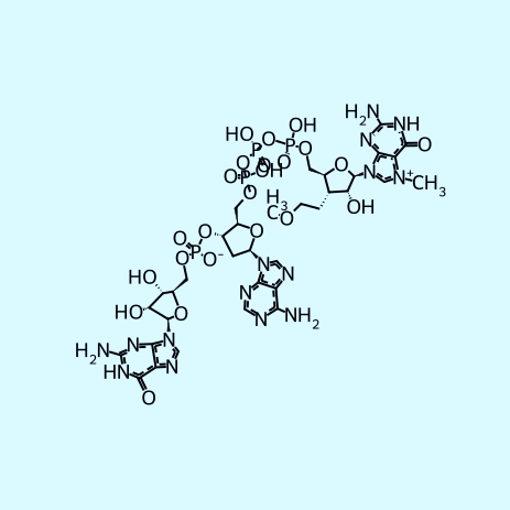 COCC[C@H]1[C@@H](O)[C@H](n2c[n+](C)c3c(=O)[nH]c(N)nc32)O[C@@H]1COP(=O)(O)OP(=O)(O)OP(=O)(O)OC[C@H]1O[C@@H](n2cnc3c(N)ncnc32)C[C@@H]1OP(=O)([O-])OC[C@H]1O[C@@H](n2cnc3c(=O)[nH]c(N)nc32)[C@H](O)[C@@H]1O